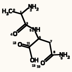 CC(N)C(=O)NC(CC(N)=O)C(=O)O